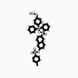 Cc1ccc(S(=O)(=O)Oc2ccc3cc(S(=O)(=O)OS(c4ccccc4)(c4ccccc4)c4ccc(OC(C)(C)C)cc4)ccc3c2)cc1